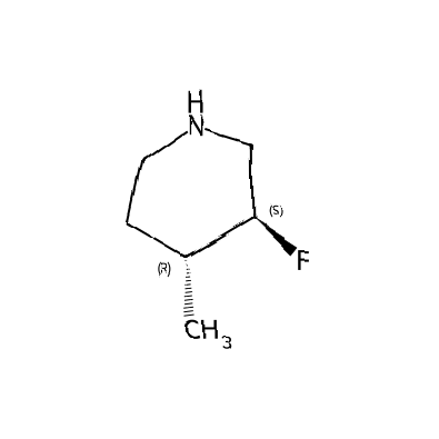 C[C@@H]1CCNC[C@H]1F